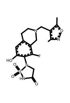 Cc1noc(C)c1CN1CCc2cc(O)c(N3CC(=O)NS3(=O)=O)c(F)c2C1